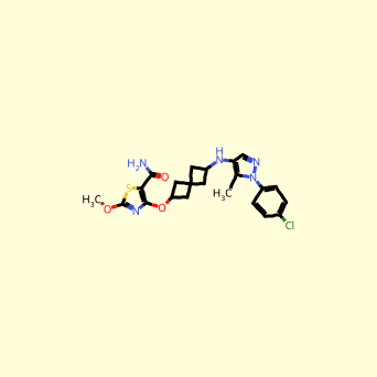 COc1nc(OC2CC3(CC(Nc4cnn(-c5ccc(Cl)cc5)c4C)C3)C2)c(C(N)=O)s1